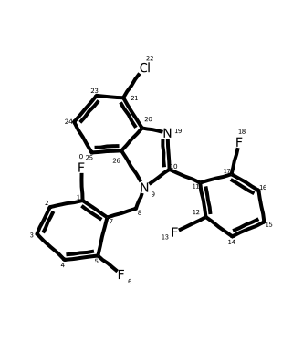 Fc1cccc(F)c1Cn1c(-c2c(F)cccc2F)nc2c(Cl)cccc21